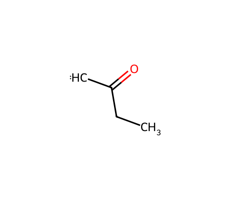 [CH]C(=O)CC